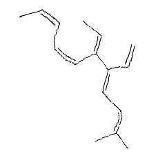 C=CC(=C\C=C(C)C)/C(/C=C\C=C/C)=C/C